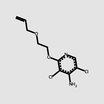 C=CCOCCOc1ncc(Cl)c(N)c1Cl